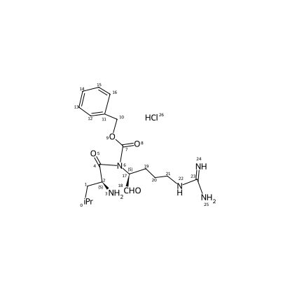 CC(C)C[C@H](N)C(=O)N(C(=O)OCc1ccccc1)[C@H](C=O)CCCNC(=N)N.Cl